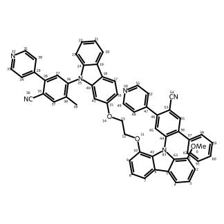 COc1cccc2c3cccc(OCCOc4ccc5c6ccccc6n(-c6cc(-c7ccncc7)c(C#N)cc6C)c5c4)c3n(-c3cc(-c4ccncc4)c(C#N)cc3-c3ccccc3)c12